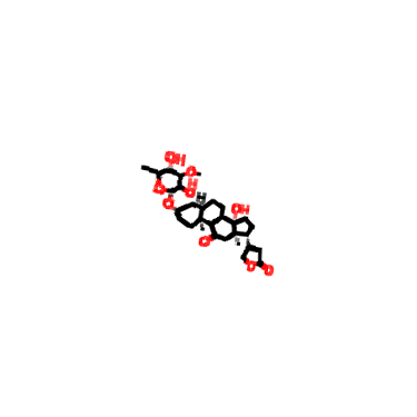 COC1C(O)[C@H](O[C@H]2CC[C@]3(C)C4C(=O)C[C@]5(C)[C@@H](C6=CC(=O)OC6)CC[C@]5(O)C4CC[C@@H]3C2)OC(C)[C@@H]1O